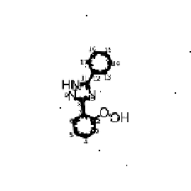 OOc1ccccc1-c1n[nH]c(-c2ccccc2)n1